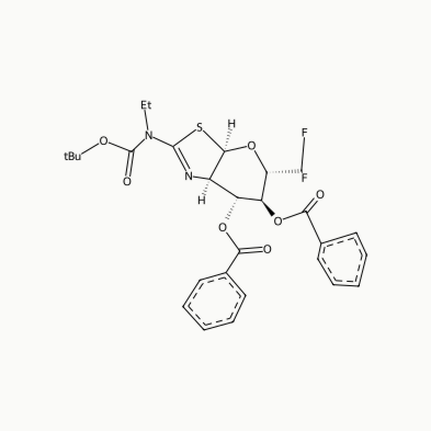 CCN(C(=O)OC(C)(C)C)C1=N[C@@H]2[C@@H](OC(=O)c3ccccc3)[C@H](OC(=O)c3ccccc3)[C@@H](C(F)F)O[C@@H]2S1